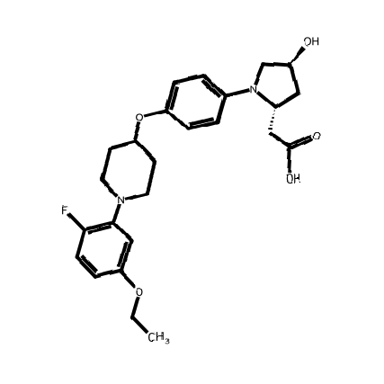 CCOc1ccc(F)c(N2CCC(Oc3ccc(N4C[C@@H](O)C[C@@H]4CC(=O)O)cc3)CC2)c1